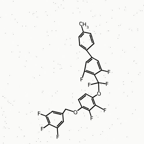 Cc1ccc(-c2cc(F)c(C(F)(F)Oc3ccc(OCc4cc(F)c(F)c(F)c4)c(F)c3F)c(F)c2)cc1